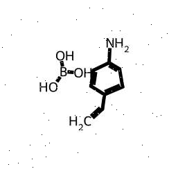 C=Cc1ccc(N)cc1.OB(O)O